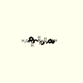 COc1cccc2c(CCNc3nccc(NCc4ccc5[nH]ccc5c4)n3)c[nH]c12